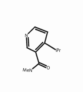 CNC(=O)c1cnccc1C(C)C